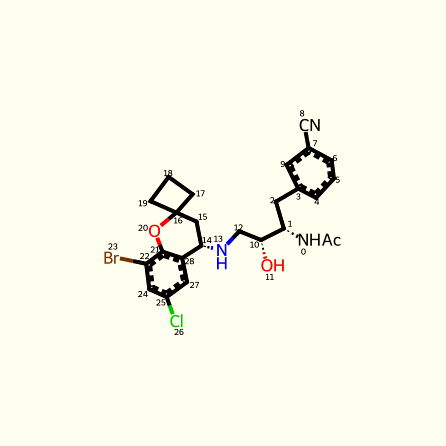 CC(=O)N[C@@H](Cc1cccc(C#N)c1)[C@H](O)CN[C@H]1CC2(CCC2)Oc2c(Br)cc(Cl)cc21